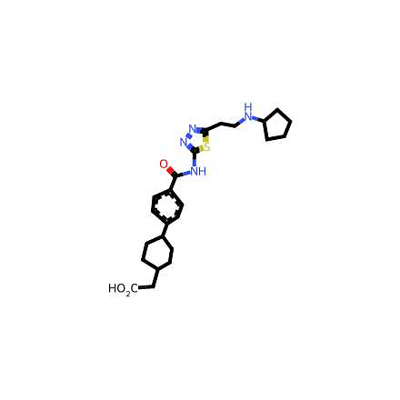 O=C(O)CC1CCC(c2ccc(C(=O)Nc3nnc(CCNC4CCCC4)s3)cc2)CC1